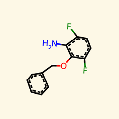 Nc1c(F)ccc(F)c1OCc1ccccc1